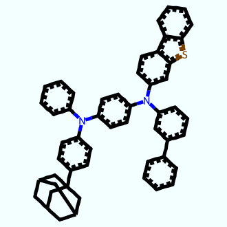 c1ccc(-c2cccc(N(c3ccc(N(c4ccccc4)c4ccc(C56CC7CC(CC(C7)C5)C6)cc4)cc3)c3ccc4c(c3)sc3ccccc34)c2)cc1